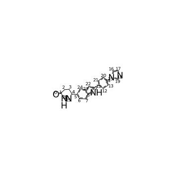 O=C1CCC(c2ccc3[nH]c(-c4ccc(-n5ccnc5)cc4)cc3c2)=NN1